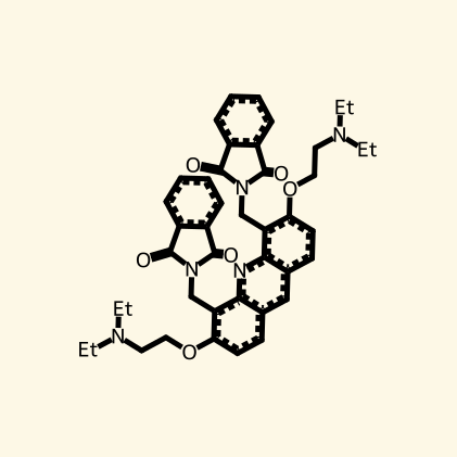 CCN(CC)CCOc1ccc2cc3ccc(OCCN(CC)CC)c(CN4C(=O)c5ccccc5C4=O)c3nc2c1CN1C(=O)c2ccccc2C1=O